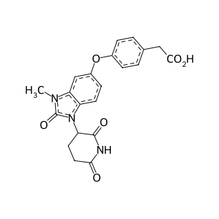 Cn1c(=O)n(C2CCC(=O)NC2=O)c2ccc(Oc3ccc(CC(=O)O)cc3)cc21